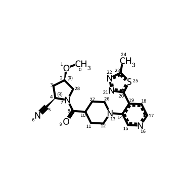 CO[C@@H]1C[C@H](C#N)N(C(=O)C2CCN(c3cnccc3-c3nnc(C)s3)CC2)C1